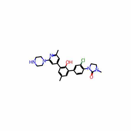 Cc1cc(-c2cc(C)nc(N3CCNCC3)c2)c(O)c(-c2ccc(N3CCN(C)C3=O)c(Cl)c2)c1